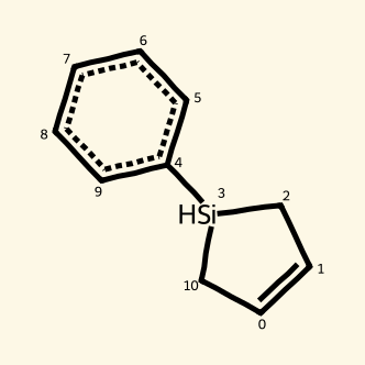 C1=CC[SiH](c2ccccc2)C1